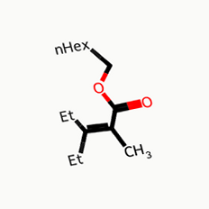 CCCCCCCOC(=O)C(C)=C(CC)CC